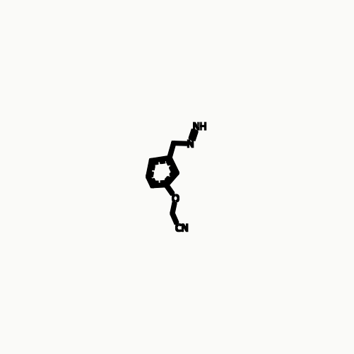 N#CCOc1cccc(CN=N)c1